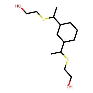 CC(SCCO)C1CCCC(C(C)SCCO)C1